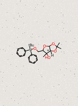 CC1(C)OC2OC(CO[Si](c3ccccc3)(c3ccccc3)C(C)(C)C)C(C)(O)[C@H]2O1